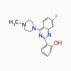 CN1CCN(c2nc(-c3ccccc3O)nc3cc(F)ccc23)CC1